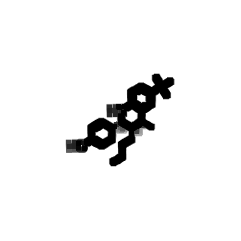 CCCC[C@@H]1[C@H](C)c2cc(C(C)(C)C)ccc2N[C@H]1C1C=CC(O)=CC1